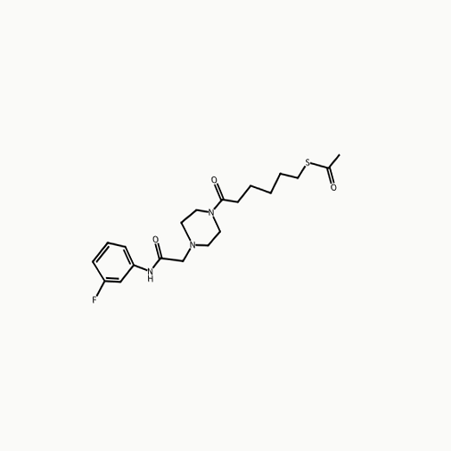 CC(=O)SCCCCCC(=O)N1CCN(CC(=O)Nc2cccc(F)c2)CC1